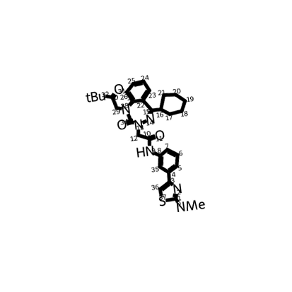 CNc1nc(-c2cccc(NC(=O)CN3N=C(C4CCCCC4)c4ccccc4N(CC(=O)C(C)(C)C)C3=O)c2)cs1